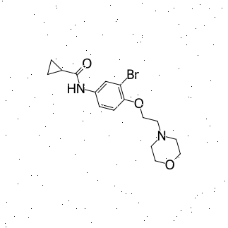 O=C(Nc1ccc(OCCN2CCOCC2)c(Br)c1)C1CC1